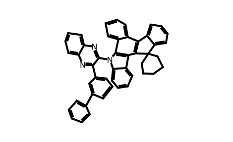 c1ccc(-c2cccc(-c3nc4ccccc4nc3-n3c4ccccc4c4c5c(c6ccccc6c43)-c3ccccc3C53CCCCC3)c2)cc1